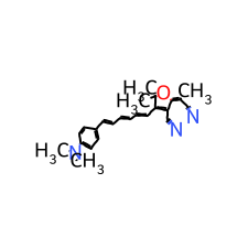 C/C(C#N)=C1\OC(C)(C)C(/C=C/C=C/C=C/c2ccc(N(C)C)cc2)=C1C#N